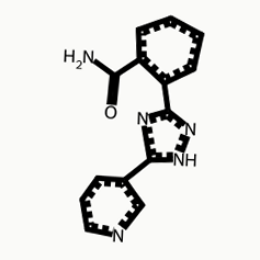 NC(=O)c1ccccc1-c1n[nH]c(-c2cccnc2)n1